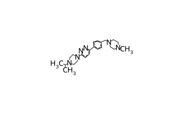 CC(C)N1CCN(c2ccc(-c3ccc(CN4CCN(C)CC4)cc3)nn2)CC1